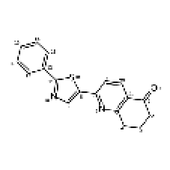 O=C1CCCc2nc(-c3cnc(-c4ccccc4)s3)ccc21